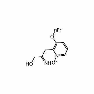 CCCOc1ccc[n+]([O-])c1CC(=N)CO